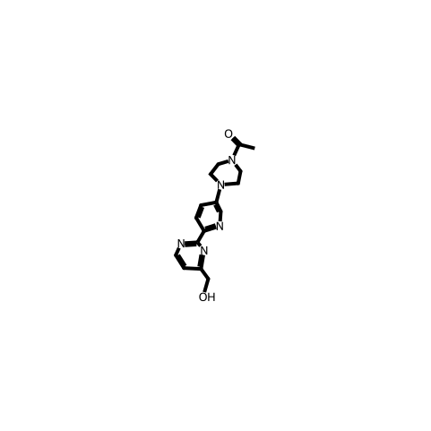 CC(=O)N1CCN(c2ccc(-c3nccc(CO)n3)nc2)CC1